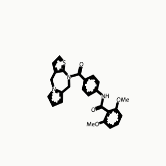 COc1cccc(OC)c1C(=O)Nc1ccc(C(=O)N2Cc3cccn3Cc3ccsc32)cc1